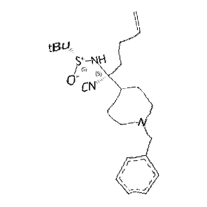 [C-]#[N+][C@@](CCC=C)(N[S@+]([O-])C(C)(C)C)C1CCN(Cc2ccccc2)CC1